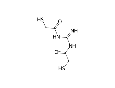 N=C(NC(=O)CS)NC(=O)CS